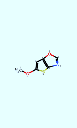 COc1cc2ocnc2s1